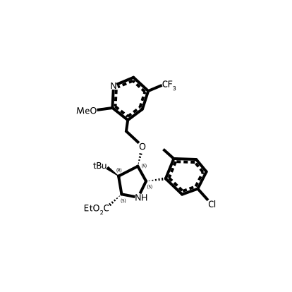 CCOC(=O)[C@H]1N[C@@H](c2cc(Cl)ccc2C)[C@@H](OCc2cc(C(F)(F)F)cnc2OC)[C@@H]1C(C)(C)C